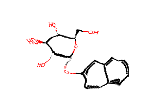 OC[C@H]1O[C@H](Oc2ccc3ccccc3c2)[C@H](O)[C@@H](O)[C@@H]1O